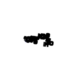 C=N/C=C\c1cc(C(=O)NCC2CC23CCN(C(=O)C2CN(C(=O)C(C)C)C2)CC3)oc1C